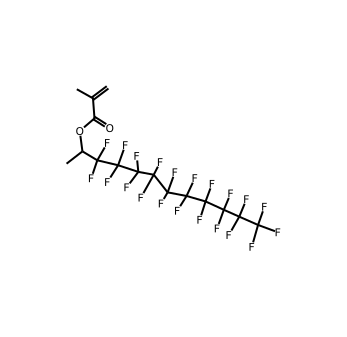 C=C(C)C(=O)OC(C)C(F)(F)C(F)(F)C(F)(F)C(F)(F)C(F)(F)C(F)(F)C(F)(F)C(F)(F)C(F)(F)C(F)(F)F